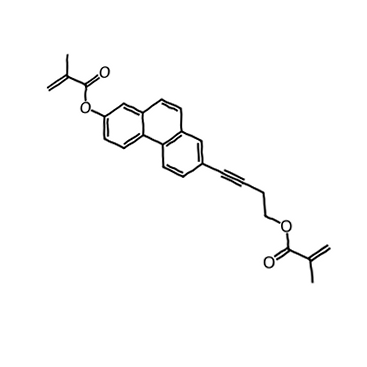 C=C(C)C(=O)OCCC#Cc1ccc2c(ccc3cc(OC(=O)C(=C)C)ccc32)c1